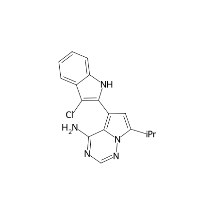 CC(C)c1cc(-c2[nH]c3ccccc3c2Cl)c2c(N)ncnn12